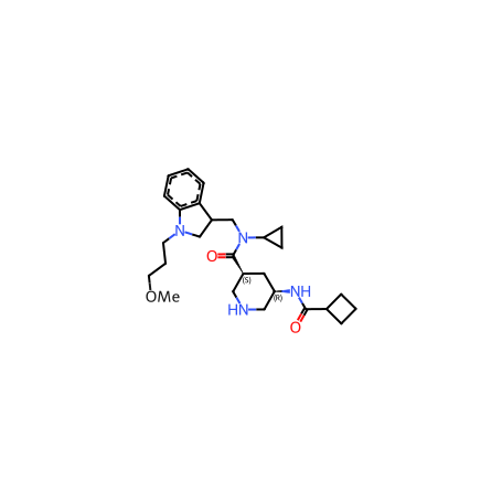 COCCCN1CC(CN(C(=O)[C@@H]2CNC[C@H](NC(=O)C3CCC3)C2)C2CC2)c2ccccc21